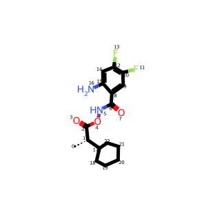 C[C@H](C(=O)ONC(=O)c1cc(F)c(F)cc1N)C1CCCCC1